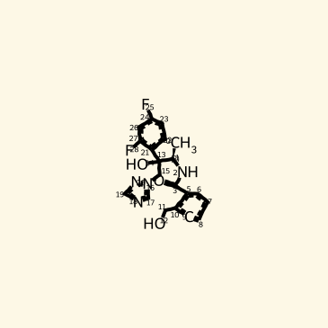 C[C@@H](NC(=O)c1ccccc1CO)C(O)(Cn1cncn1)c1ccc(F)cc1F